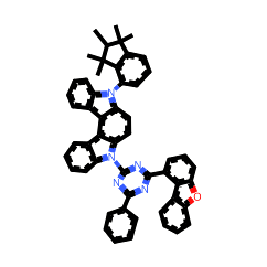 CC1C(C)(C)c2cccc(-n3c4ccccc4c4c5c6ccccc6n(-c6nc(-c7ccccc7)nc(-c7cccc8oc9ccccc9c78)n6)c5ccc43)c2C1(C)C